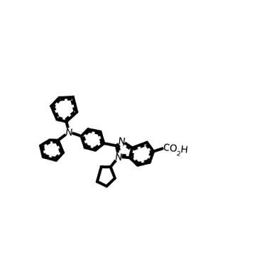 O=C(O)c1ccc2c(c1)nc(-c1ccc(N(c3ccccc3)c3ccccc3)cc1)n2C1CCCC1